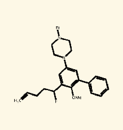 C=CCCC(F)c1cc(N2CCN(CC)CC2)cc(-c2ccccc2)c1OC